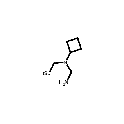 CC(C)(C)CN(CN)C1CCC1